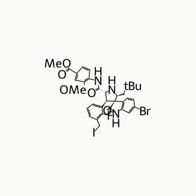 COC(=O)c1ccc(NC(=O)[C@@H]2N[C@@H](CC(C)(C)C)[C@@]3(C(=O)Nc4cc(Br)ccc43)[C@H]2c2cccc(CI)c2F)c(OC)c1